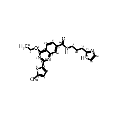 CCOc1nc(-c2ccc(Cl)s2)nc2cc(C(=O)NCCCc3ncc[nH]3)ccc12